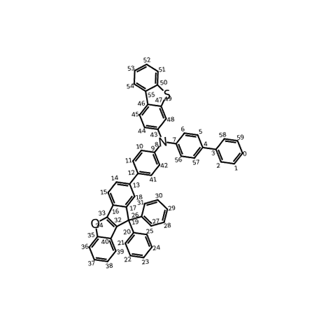 c1ccc(-c2ccc(N(c3ccc(-c4ccc5c(c4)C(c4ccccc4)(c4ccccc4)c4c-5oc5ccccc45)cc3)c3ccc4c(c3)sc3ccccc34)cc2)cc1